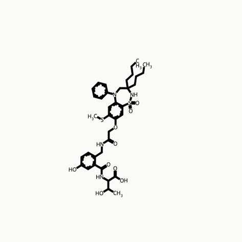 CCCCC1(CCCC)CN(c2ccccc2)c2cc(SC)c(OCC(=O)NCc3ccc(O)cc3C(=O)NC(C(=O)O)C(C)O)cc2S(=O)(=O)N1